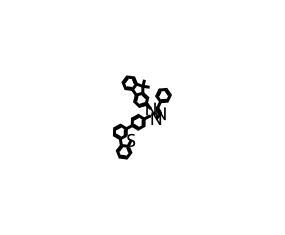 CC1(C)c2ccccc2-c2ccc(-n3c(-c4ccccc4)nnc3-c3ccc(-c4cccc5c4sc4ccccc45)cc3)cc21